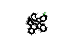 Brc1cccc2c1-c1ccccc1C21c2ccccc2-c2c1c1ccccc1c1ccccc21